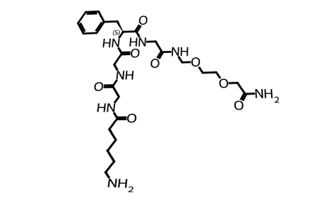 NCCCCCC(=O)NCC(=O)NCC(=O)N[C@@H](Cc1ccccc1)C(=O)NCC(=O)NCOCCOCC(N)=O